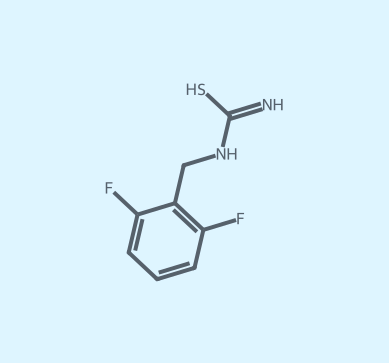 N=C(S)NCc1c(F)cccc1F